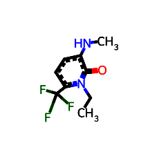 CCn1c(C(F)(F)F)ccc(NC)c1=O